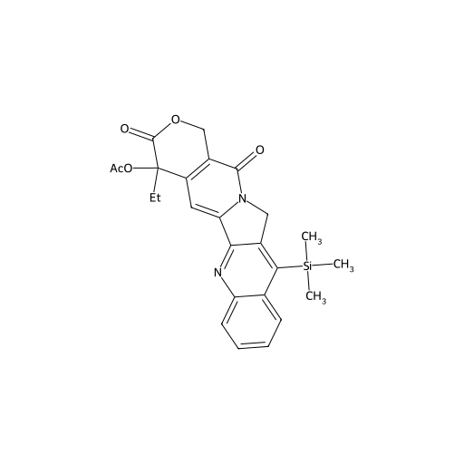 CCC1(OC(C)=O)C(=O)OCc2c1cc1n(c2=O)Cc2c-1nc1ccccc1c2[Si](C)(C)C